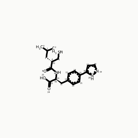 CC(C)C[C@H](CS)C(=O)N[C@@H](Cc1ccc(-c2ccn[nH]2)cc1)C(=O)O